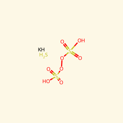 O=S(=O)(O)OOS(=O)(=O)O.S.[KH]